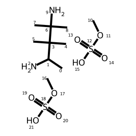 CC(N)C(C)(C)C(C)(C)N.COS(=O)(=O)O.COS(=O)(=O)O